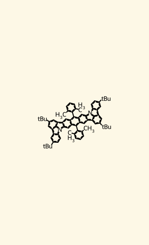 Cc1cccc(C)c1-c1c2cc3c4cc(C(C)(C)C)cc5c6cc(C(C)(C)C)ccc6n(c3cc2c(-c2c(C)cccc2C)c2cc3c6cc(C(C)(C)C)cc7c8cc(C(C)(C)C)ccc8n(c3cc12)c76)c54